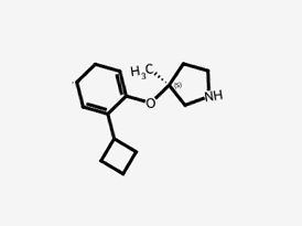 C[C@]1(OC2=CC[CH]C=C2C2CCC2)CCNC1